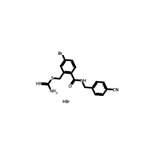 Br.N#Cc1ccc(CNC(=O)c2ccc(Br)cc2CSC(=N)N)cc1